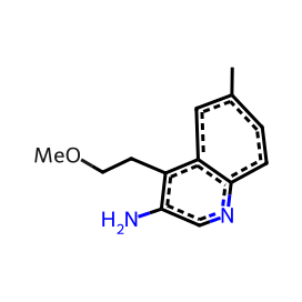 COCCc1c(N)cnc2ccc(C)cc12